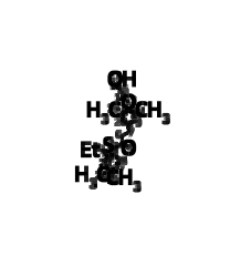 CCc1sc(C(=O)CCc2cc(C)c(OCCCO)c(C)c2)c2c1CC(C)(C)CC2